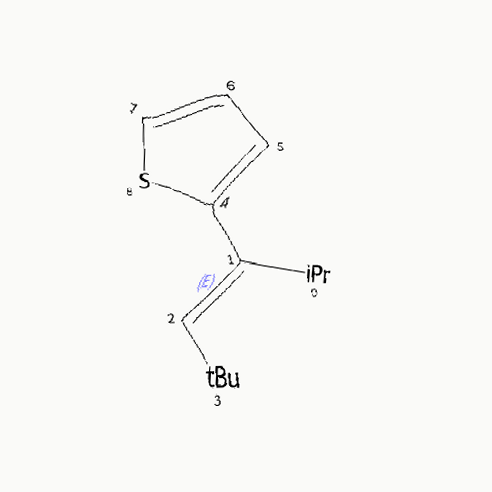 CC(C)/C(=C\C(C)(C)C)c1cccs1